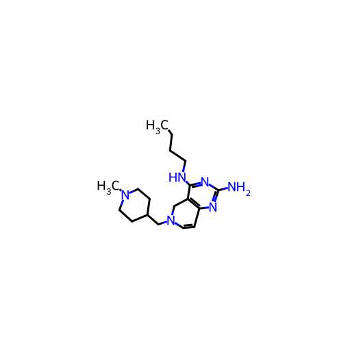 CCCCNc1nc(N)nc2c1CN(CC1CCN(C)CC1)C=C2